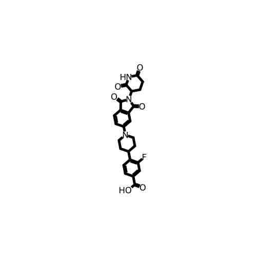 O=C1CCC(N2C(=O)c3ccc(N4CCC(c5ccc(C(=O)O)cc5F)CC4)cc3C2=O)C(=O)N1